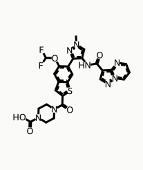 Cn1cc(NC(=O)c2cnn3cccnc23)c(-c2cc3sc(C(=O)N4CCN(C(=O)O)CC4)cc3cc2OC(F)F)n1